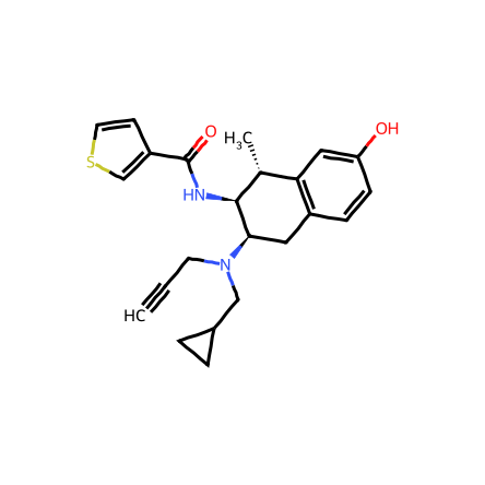 C#CCN(CC1CC1)[C@@H]1Cc2ccc(O)cc2[C@@H](C)[C@@H]1NC(=O)c1ccsc1